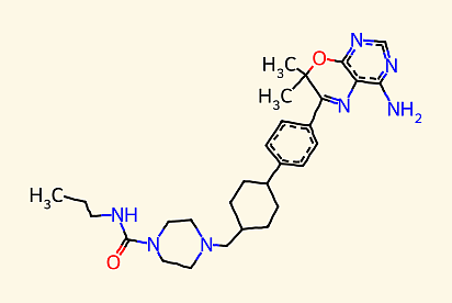 CCCNC(=O)N1CCN(CC2CCC(c3ccc(C4=Nc5c(N)ncnc5OC4(C)C)cc3)CC2)CC1